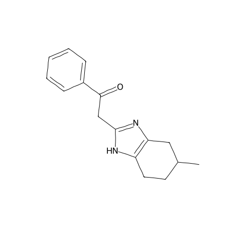 CC1CCc2[nH]c(CC(=O)c3ccccc3)nc2C1